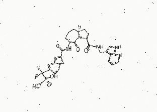 O=C(N[C@H]1CCC[C@H]2CC[C@@H](C(=O)NCc3c[nH]c4ncccc34)N2C1=O)c1cc2cc(C(F)(F)P(=O)(O)O)ccc2s1